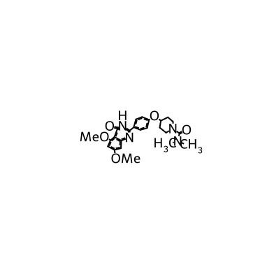 COc1cc(OC)c2c(=O)[nH]c(-c3ccc(OC4CCN(C(=O)N(C)C)CC4)cc3)nc2c1